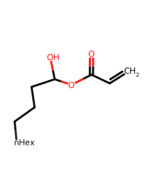 C=CC(=O)OC(O)CCCCCCCCC